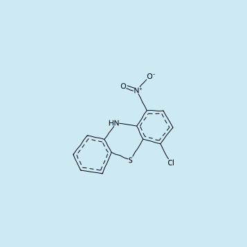 O=[N+]([O-])c1ccc(Cl)c2c1Nc1ccccc1S2